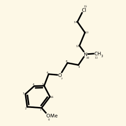 COc1cccc(COCCN(C)CCCCl)c1